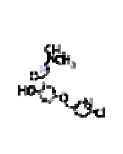 CN(C)/C=C/C(=O)c1cc(OCc2ccc(Cl)nc2)ccc1O